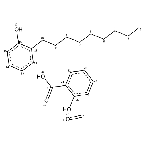 C=O.CCCCCCCCCc1ccccc1O.O=C(O)c1ccccc1O